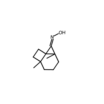 CC12CCCC3(C)/C(=N\O)C13CC2